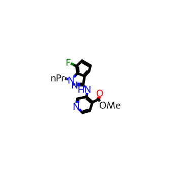 CCCn1nc(Nc2cnccc2C(=O)OC)c2cccc(F)c21